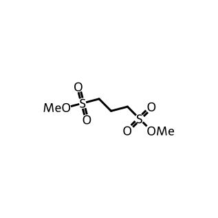 COS(=O)(=O)CCCS(=O)(=O)OC